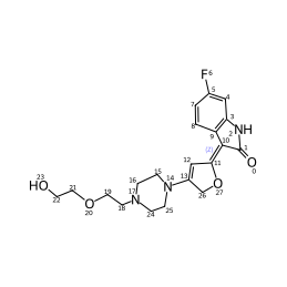 O=C1Nc2cc(F)ccc2/C1=C1\C=C(N2CCN(CCOCCO)CC2)CO1